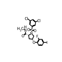 CNC(=O)[C@H]1C[C@@H](Oc2ccc(I)cc2F)CN1S(=O)(=O)c1cc(Cl)cc(Cl)c1